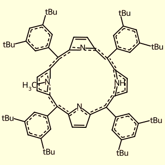 Cn1c2ccc1c(-c1cc(C(C)(C)C)cc(C(C)(C)C)c1)c1nc(c(-c3cc(C(C)(C)C)cc(C(C)(C)C)c3)c3ccc([nH]3)c(-c3cc(C(C)(C)C)cc(C(C)(C)C)c3)c3nc(c2-c2cc(C(C)(C)C)cc(C(C)(C)C)c2)C=C3)C=C1